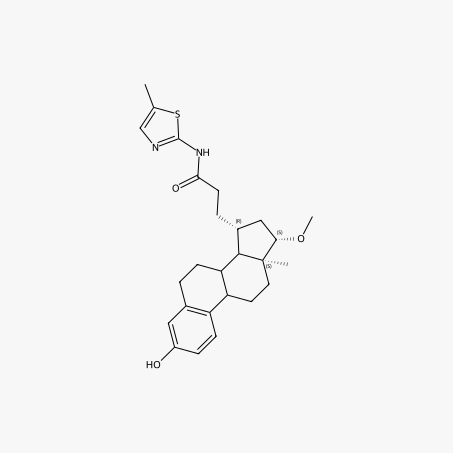 CO[C@H]1C[C@@H](CCC(=O)Nc2ncc(C)s2)C2C3CCc4cc(O)ccc4C3CC[C@@]21C